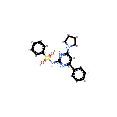 O=S(=O)(Nc1nc(-c2ccccc2)cc(N2CCCC2)n1)c1ccccc1